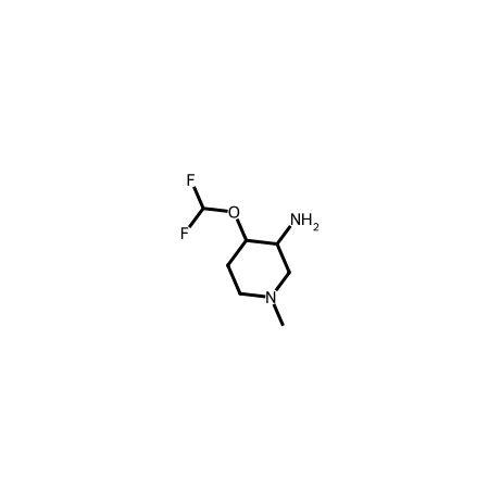 CN1CCC(OC(F)F)C(N)C1